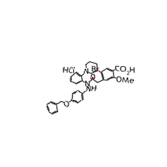 COc1cc(CC(=O)N(Nc2ccc(OCc3ccccc3)cc2)c2ccccc2N2CCCCC2)c(Br)cc1C(=O)O.Cl